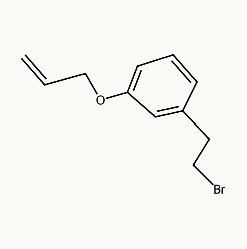 C=CCOc1cccc(CCBr)c1